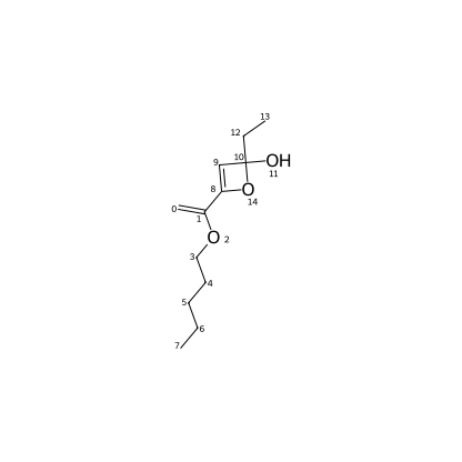 C=C(OCCCCC)C1=CC(O)(CC)O1